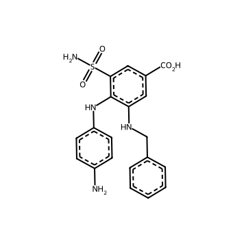 Nc1ccc(Nc2c(NCc3ccccc3)cc(C(=O)O)cc2S(N)(=O)=O)cc1